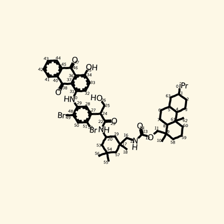 CC(C)C1CCC2C(CCC3C(C)(COC(=O)NCC4(C)CC(NC(=O)C(CO)c5cc(Nc6ccc(O)c7c6C(=O)c6ccccc6C7=O)c(Br)cc5Br)CC(C)(C)C4)CCCC23C)C1